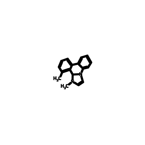 Cc1cccc2c1C1N(C)C=CN1c1ccccc1-2